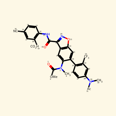 COC(=O)N(C)c1cc2c(C(=O)Nc3ccc(C#N)cc3C(=O)O)noc2cc1-c1ccc(N(C)C(C)=O)cc1C(F)(F)F